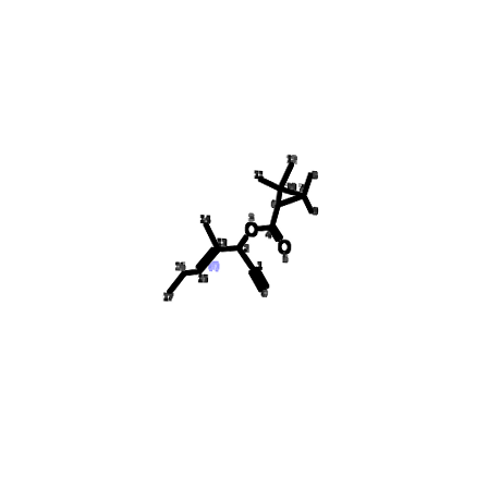 C#CC(OC(=O)C1C(C)(C)C1(C)C)/C(C)=C/CC